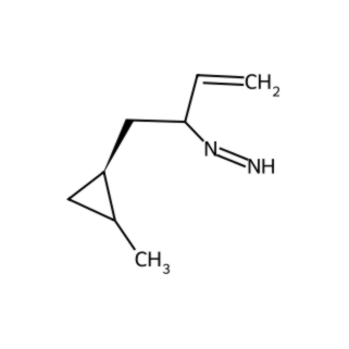 C=CC(C[C@@H]1CC1C)N=N